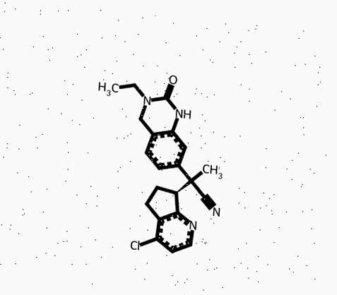 CCN1Cc2ccc(C(C)(C#N)[C@@H]3CCc4c(Cl)ccnc43)cc2NC1=O